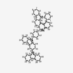 c1ccc(-n2c3ccccc3c3ccc4c(-c5ccc(-n6c7ccccc7c7cc(-n8c9ccccc9c9ccccc98)ccc76)cc5)nc5ccccc5c4c32)cc1